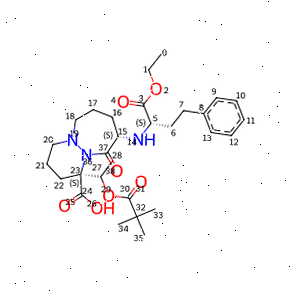 CCOC(=O)[C@H](CCc1ccccc1)N[C@H]1CCCN2CCC[C@@](C(=O)O)(C(C)OC(=O)C(C)(C)C)N2C1=O